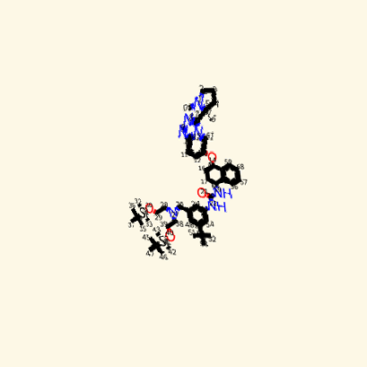 CN1CCC[C@@]1(C)c1nnc2ccc(O[C@@H]3CC[C@H](NC(=O)Nc4cc(CN(CCO[Si](C)(C)C(C)(C)C)CCO[Si](C)(C)C(C)(C)C)cc(C(C)(C)C)c4)c4ccccc43)cn12